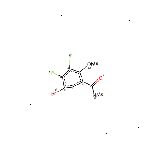 CNC(=O)c1cc(Br)c(F)c(F)c1OC